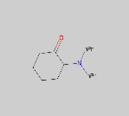 CCCN(CCC)C1CCCCC1=O